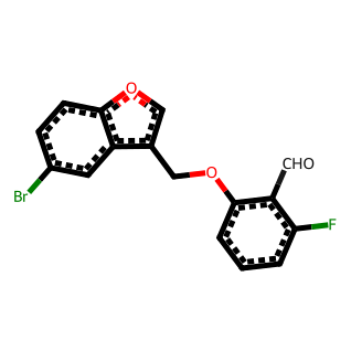 O=Cc1c(F)cccc1OCc1coc2ccc(Br)cc12